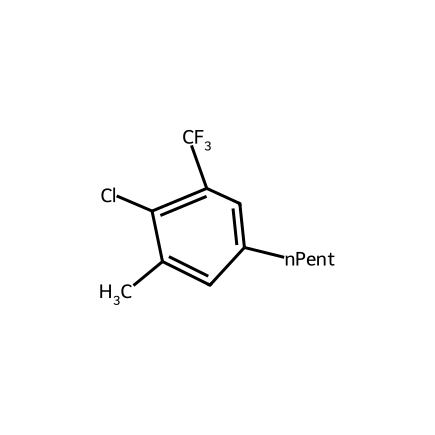 CCCCCc1cc(C)c(Cl)c(C(F)(F)F)c1